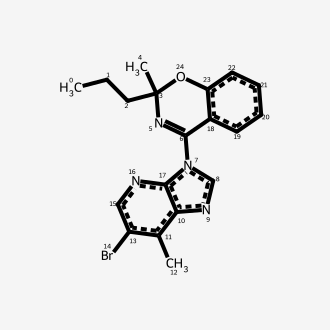 CCCC1(C)N=C(n2cnc3c(C)c(Br)cnc32)c2ccccc2O1